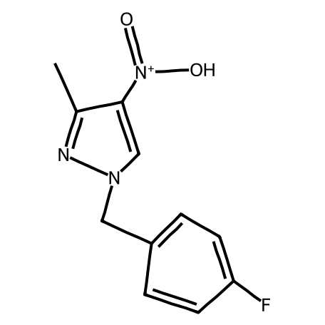 Cc1nn(Cc2ccc(F)cc2)cc1[N+](=O)O